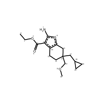 CCOC(=O)c1c(N)sc2c1CCC(COC)(CC1CC1)C2